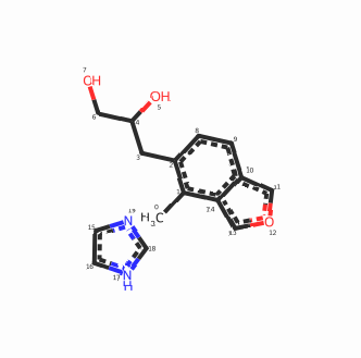 Cc1c(CC(O)CO)ccc2cocc12.c1c[nH]cn1